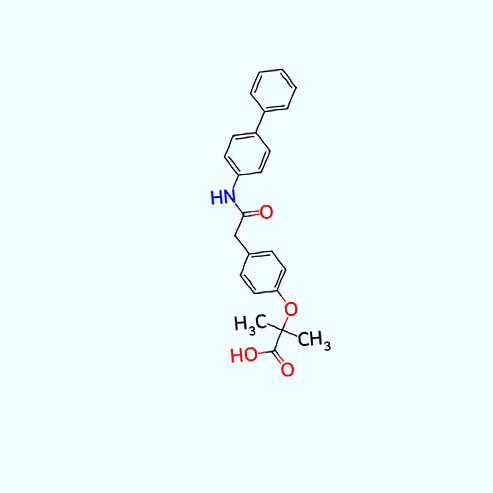 CC(C)(Oc1ccc(CC(=O)Nc2ccc(-c3ccccc3)cc2)cc1)C(=O)O